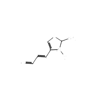 NC1SC=C(C=C[C]=S)N1Br